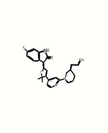 CC1(C)O/C(=C2/C(=O)Nc3cc(F)ccc32)C=C1c1ccnc(N2CCCC(CCO)C2)c1